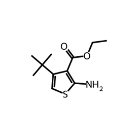 CCOC(=O)c1c(C(C)(C)C)csc1N